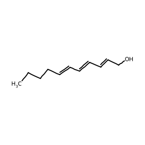 CCCCC=CC=CC=CCO